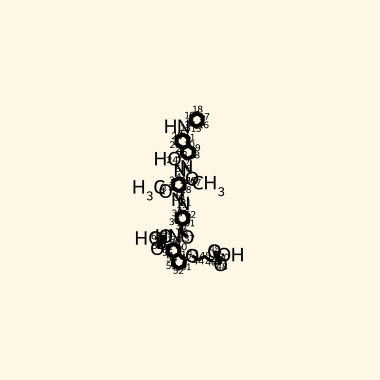 COc1cc(N=Nc2ccc3cc(Nc4ccccc4)ccc3c2O)c(OC)cc1N=Nc1ccc(C(=O)Nc2cc3c(OCCCS(=O)(=O)O)cccc3cc2S(=O)(=O)O)cc1